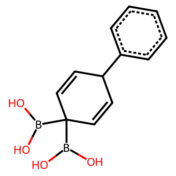 OB(O)C1(B(O)O)C=CC(c2ccccc2)C=C1